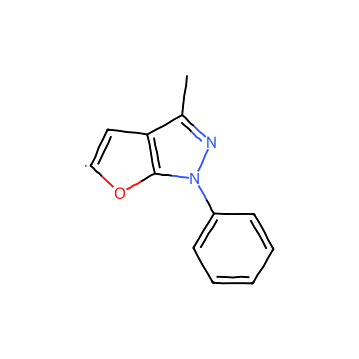 Cc1nn(-c2ccccc2)c2o[c]cc12